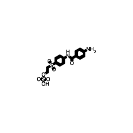 Nc1ccc(C(=O)Nc2ccc(S(=O)(=O)CCOS(=O)(=O)O)cc2)cc1